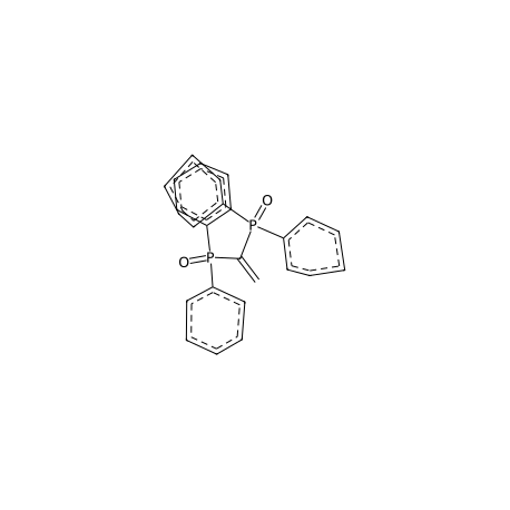 C=C(P(=O)(c1ccccc1)c1ccccc1)P(=O)(c1ccccc1)c1ccccc1